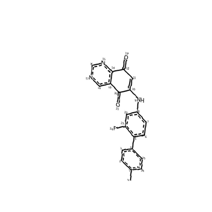 Cc1ccc(-c2ccc(NC3=CC(=O)c4ncncc4C3=O)cc2F)cc1